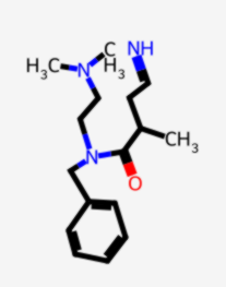 CC(CC=N)C(=O)N(CCN(C)C)Cc1ccccc1